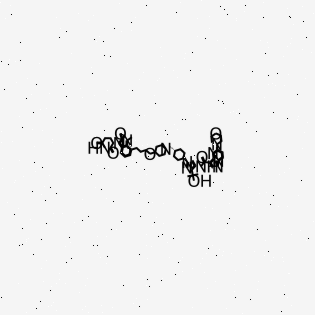 Cn1c(=O)n(C2CCC(=O)NC2=O)c2cccc(CCCOC3CCN(C[C@H]4CC[C@H](n5cc(NC(=O)c6cnn7ccc(N8CCOCC8)nc67)c(C(C)(C)O)n5)CC4)CC3)c21